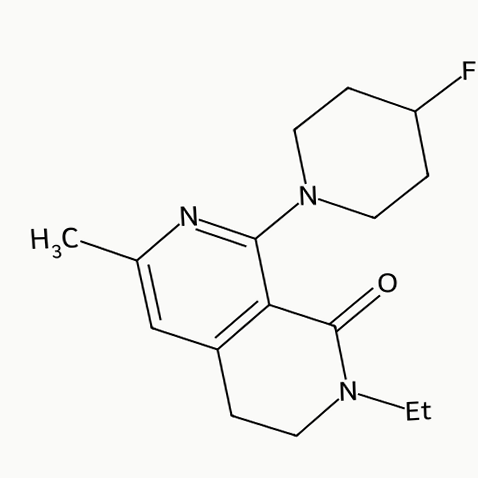 CCN1CCc2cc(C)nc(N3CCC(F)CC3)c2C1=O